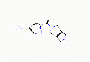 C=C(c1ccc(SN)cn1)N1CC2=C(CN(C)C2)C1